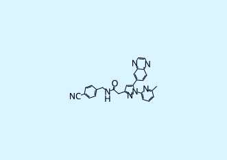 Cc1cccc(-n2nc(CC(=O)NCc3ccc(C#N)cc3)cc2-c2ccc3nccnc3c2)n1